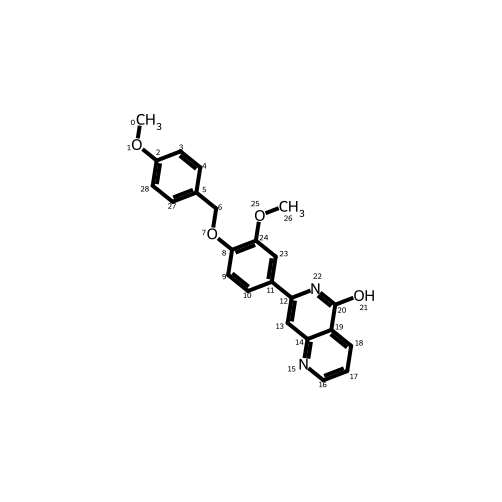 COc1ccc(COc2ccc(-c3cc4ncccc4c(O)n3)cc2OC)cc1